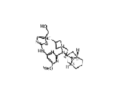 COc1cc(Nc2ncc(CO)s2)nc(N(C)[C@@H]2C[C@H]3CCC[C@@H](C2)N3CCN2CC(C#N)C2)n1